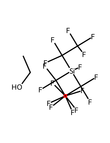 CCO.FC(F)(F)C(F)(F)[Si](F)(C(F)(F)C(F)(F)F)C(F)(F)C(F)(F)F